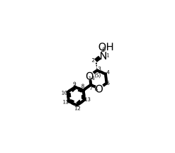 ON=C[C@@H]1CCOC(c2ccccc2)O1